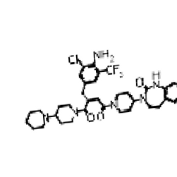 Nc1c(Cl)cc(C[C@@H](CC(=O)N2CCC(N3CCc4ccccc4NC3=O)CC2)C(=O)N2CCC(N3CCCCC3)CC2)cc1C(F)(F)F